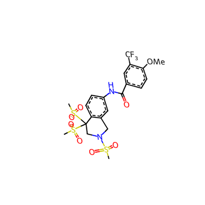 COc1ccc(C(=O)Nc2ccc3c(c2)CN(S(C)(=O)=O)CC3(S(C)(=O)=O)S(C)(=O)=O)cc1C(F)(F)F